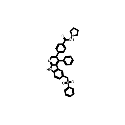 O=C(NN1CCCC1)c1ccc(-c2cnc3[nH]c4ccc(CS(=O)(=O)c5ccccc5)cc4c3c2-c2ccccc2)cc1